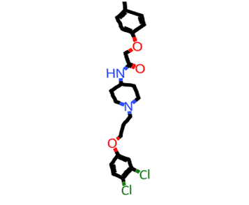 Cc1ccc(OCC(=O)NC2CCN(CCCOc3ccc(Cl)c(Cl)c3)CC2)cc1